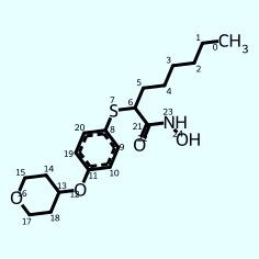 CCCCCCC(Sc1ccc(OC2CCOCC2)cc1)C(=O)NO